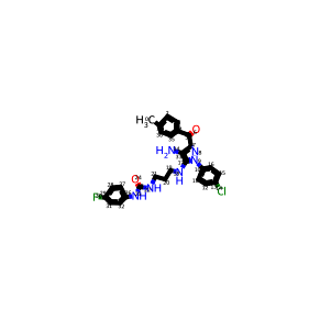 Cc1ccc(C(=O)c2nn(-c3ccc(Cl)cc3)c(NCCCNC(=O)Nc3ccc(F)cc3)c2N)cc1